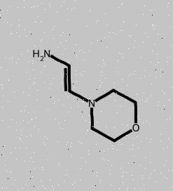 NC=CN1CCOCC1